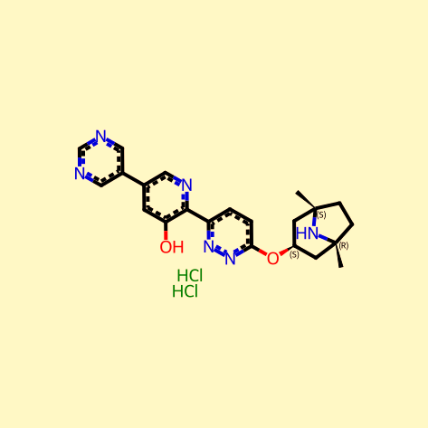 C[C@]12CC[C@](C)(C[C@@H](Oc3ccc(-c4ncc(-c5cncnc5)cc4O)nn3)C1)N2.Cl.Cl